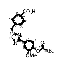 COc1cc(-c2nnn(Cc3ccc(C(=O)O)cc3)n2)ccc1OC(=O)C(C)(C)C